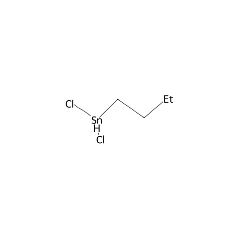 CCC[CH2][SnH]([Cl])[Cl]